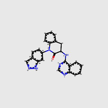 O=C1C(Nc2ncnc3ccccc23)Cc2ccccc2N1c1ccc2cn[nH]c2c1